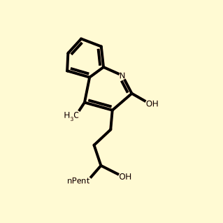 CCCCCC(O)CCc1c(O)nc2ccccc2c1C